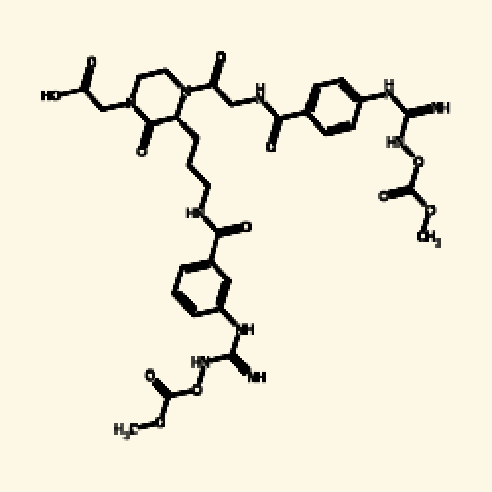 COC(=O)ONC(=N)Nc1ccc(C(=O)NCC(=O)N2CCN(CC(=O)O)C(=O)[C@@H]2CCCNC(=O)c2cccc(NC(=N)NOC(=O)OC)c2)cc1